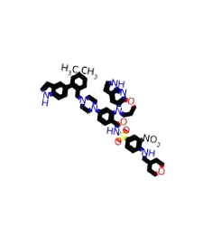 CC1(C)CCC(CN2CCN(c3ccc(C(=O)NS(=O)(=O)c4ccc(NCC5CCOCC5)c([N+](=O)[O-])c4)c(N4CCCOc5nc6[nH]ccc6cc54)c3)CC2)=C(c2ccc3[nH]ccc3c2)C1